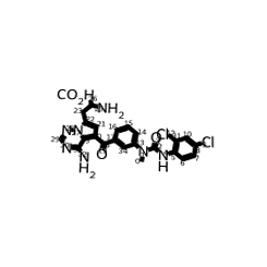 CN(C(=O)Nc1ccc(Cl)cc1Cl)c1cccc(C(=O)c2cc(CC(N)C(=O)O)n3ncnc(N)c23)c1